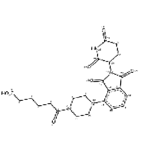 O=C(O)CCCCC(=O)N1CCN(c2cccc3c2C(=O)N(C2CCC(=O)NC2=O)C3=O)CC1